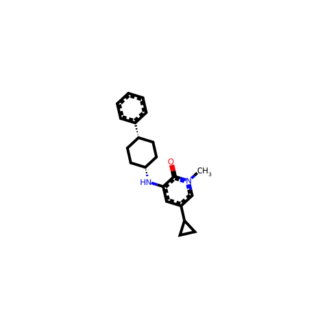 Cn1cc(C2CC2)cc(N[C@H]2CC[C@@H](c3ccccc3)CC2)c1=O